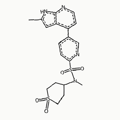 Cc1cc2c(-c3ccc(S(=O)(=O)N(C)C4CCS(=O)(=O)CC4)nc3)ccnc2[nH]1